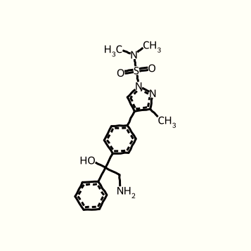 Cc1nn(S(=O)(=O)N(C)C)cc1-c1ccc(C(O)(CN)c2ccccc2)cc1